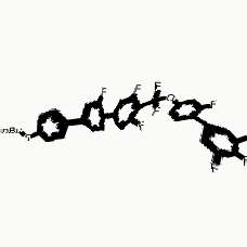 CCCCSc1ccc(-c2ccc(-c3cc(F)c(C(F)(F)Oc4ccc(-c5cc(F)c(F)c(F)c5)c(F)c4)c(F)c3)c(F)c2)cc1